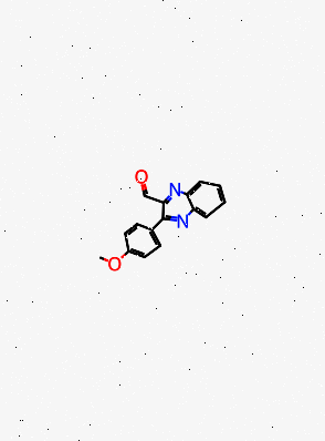 COc1ccc(-c2nc3ccccc3nc2C=O)cc1